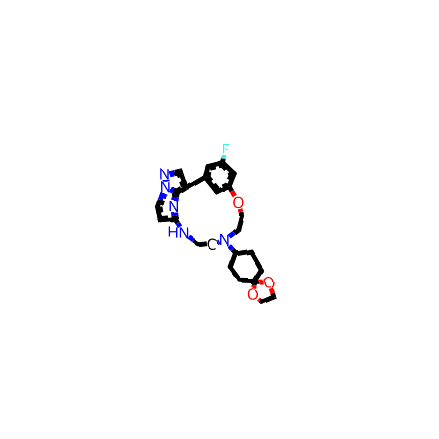 Fc1cc2cc(c1)-c1cnn3ccc(nc13)NCCN(C1CCC3(CC1)OCCO3)CCO2